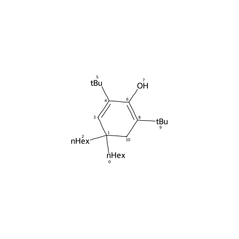 CCCCCCC1(CCCCCC)C=C(C(C)(C)C)C(O)=C(C(C)(C)C)C1